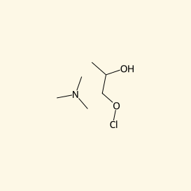 CC(O)COCl.CN(C)C